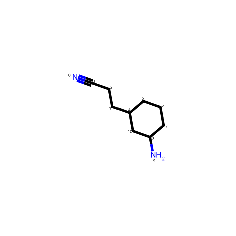 N#CCCC1CCCC(N)C1